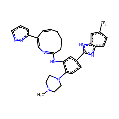 CN1CCN(c2ccc(-c3nc4ccc(C(F)(F)F)cc4[nH]3)cc2N/C2=N/C=C(c3cccnn3)\C=C/CCC2)CC1